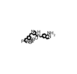 CS(=O)(=O)c1cc(Cc2cc(C(=O)NCC3=CC4C=CN=C(N)C4C=C3)ccn2)cc2cc(F)cnc12